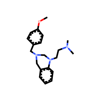 COc1ccc(CN2Cc3ccccc3N(CCN(C)C)C2)cc1